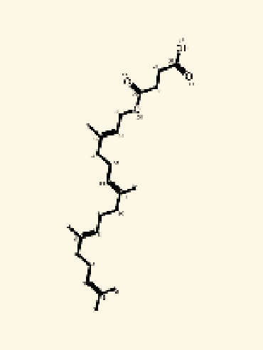 CC(C)=CCCC(C)=CCCC(C)=CCCC(C)=CCOC(=O)CCC(=O)O